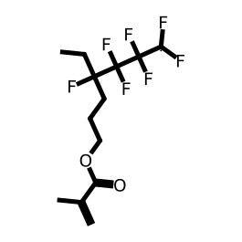 C=C(C)C(=O)OCCCC(F)(CC)C(F)(F)C(F)(F)[C](F)F